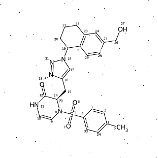 Cc1ccc(S(=O)(=O)N2C=CNC(=O)[C@H]2Cc2cn(C3CCCc4cc(CO)ccc43)nn2)cc1